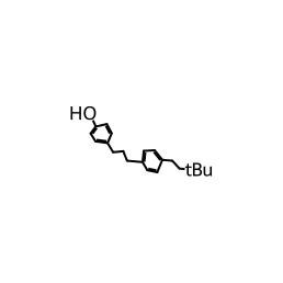 CC(C)(C)CCc1ccc(CCCc2ccc(O)cc2)cc1